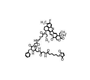 CCN(C(=O)CSCNC(=O)CNC(=O)[C@H](Cc1ccccc1)NC(=O)CNC(=O)CNC(=O)CCCCCN1C(=O)C=CC1=O)[C@H]1CCc2c(C)c(F)cc3nc4c(c1c23)Cn1c-4cc2c(c1=O)COC(=O)[C@]2(O)CC